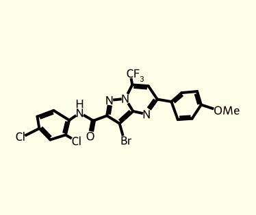 COc1ccc(-c2cc(C(F)(F)F)n3nc(C(=O)Nc4ccc(Cl)cc4Cl)c(Br)c3n2)cc1